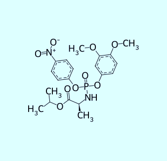 COc1ccc(OP(=O)(N[C@@H](C)C(=O)OC(C)C)Oc2ccc([N+](=O)[O-])cc2)cc1OC